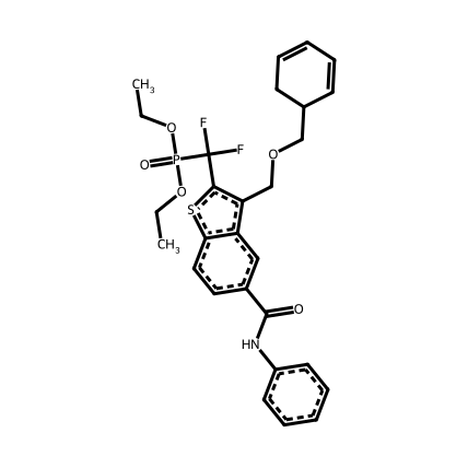 CCOP(=O)(OCC)C(F)(F)c1sc2ccc(C(=O)Nc3ccccc3)cc2c1COCC1C=CC=CC1